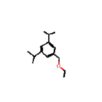 CCOCc1cc(C(C)C)cc(C(C)C)c1